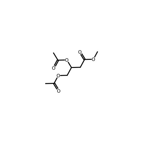 COC(=O)CC(COC(C)=O)OC(C)=O